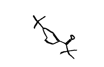 CC(C)(C)C(=O)C1=CC(C(C)(C)C)CC1